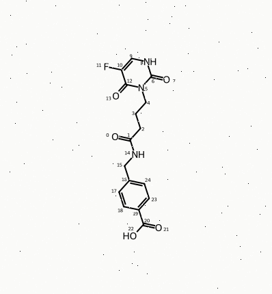 O=C(CCCn1c(=O)[nH]cc(F)c1=O)NCc1ccc(C(=O)O)cc1